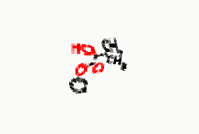 CC(C)C(O)C(=O)Oc1ccccc1